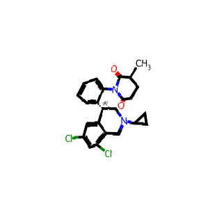 CC1CCC(=O)N(c2ccccc2[C@@H]2CN(C3CC3)Cc3c(Cl)cc(Cl)cc32)C1=O